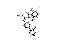 Cn1nccc(-c2ccc(C[C@H](NC(=O)c3c(Cl)cccc3Cl)C(=O)O)cc2)c1=O